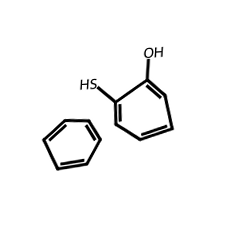 Oc1ccccc1S.c1ccccc1